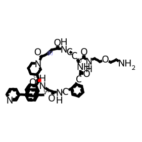 NCCOCCNC(=O)[C@@H]1CCNC(=O)/C=C/C(=O)N2CCC[C@](Cc3ccccc3)(C2)C(=O)N[C@@H](Cc2ccc(-c3cccnc3)cc2)C(=O)NCc2ccccc2CC(=O)N1